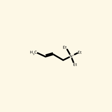 CC=CC[N+](CC)(CC)CC